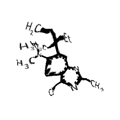 C=CC(C)(CC)c1cc2nc(C)nc(Cl)c2cc1N(C)C